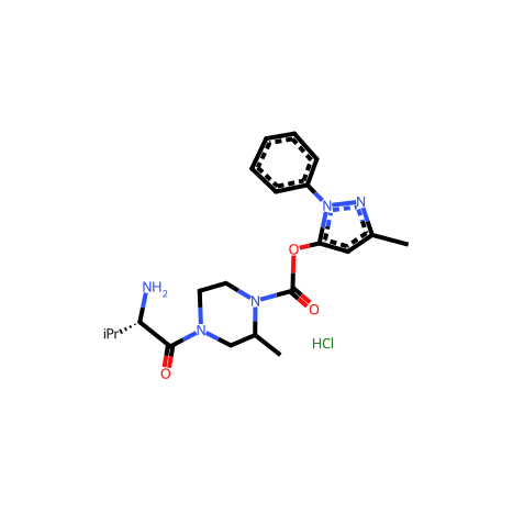 Cc1cc(OC(=O)N2CCN(C(=O)[C@@H](N)C(C)C)CC2C)n(-c2ccccc2)n1.Cl